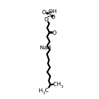 CC(C)CCCCCCCCCCCC(=O)CCOS(=O)(=O)O.[NaH]